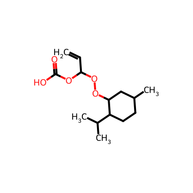 C=CC(OOC1CC(C)CCC1C(C)C)OC(=O)O